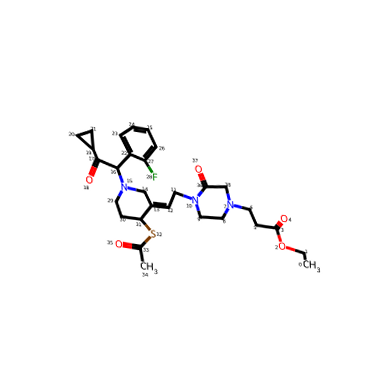 CCOC(=O)CCN1CCN(C/C=C2\CN(C(C(=O)C3CC3)c3ccccc3F)CCC2SC(C)=O)C(=O)C1